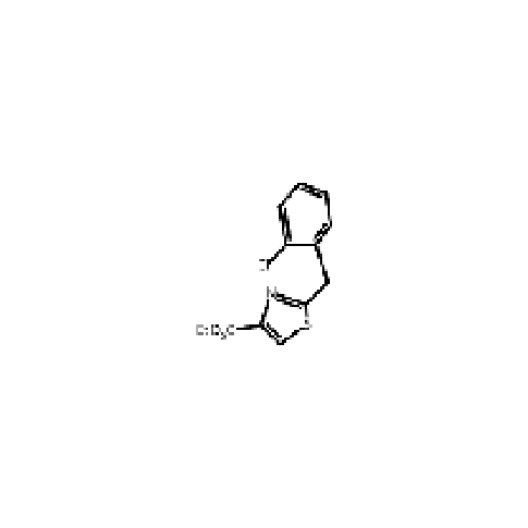 CCOC(=O)c1csc(Cc2ccccc2Cl)n1